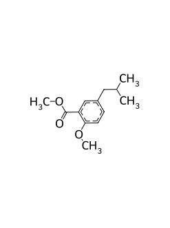 COC(=O)c1cc(CC(C)C)ccc1OC